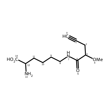 C#CCC(OC)C(=O)NCCCCC(N)C(=O)O